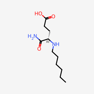 CCCCCCN[C@@H](CCC(=O)O)C(N)=O